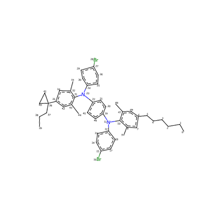 CCCCCCc1cc(C)c(N(c2ccc(Br)cc2)c2ccc(N(c3ccc(Br)cc3)c3c(C)cc(C4(CCC)CC4)cc3C)cc2)c(C)c1